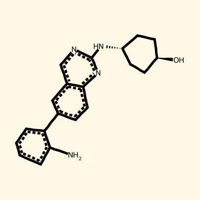 Nc1ccccc1-c1ccc2nc(N[C@H]3CC[C@H](O)CC3)ncc2c1